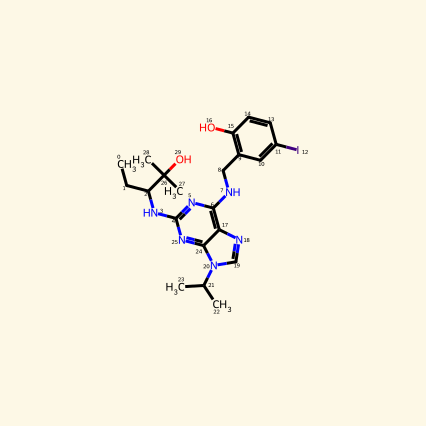 CCC(Nc1nc(NCc2cc(I)ccc2O)c2ncn(C(C)C)c2n1)C(C)(C)O